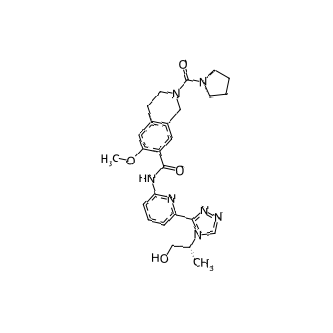 COc1cc2c(cc1C(=O)Nc1cccc(-c3nncn3[C@H](C)CO)n1)CN(C(=O)N1CCCC1)CC2